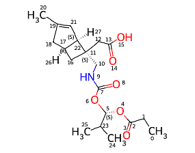 CCC(=O)O[C@@H](OC(=O)NC[C@]1(CC(=O)O)C[C@H]2CC(C)=C[C@H]21)C(C)C